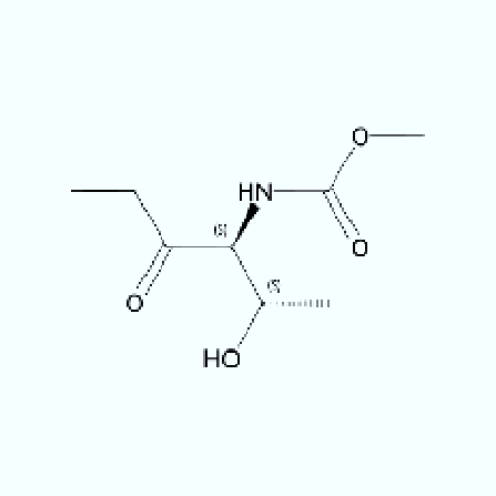 CCC(=O)[C@@H](NC(=O)OC)[C@H](C)O